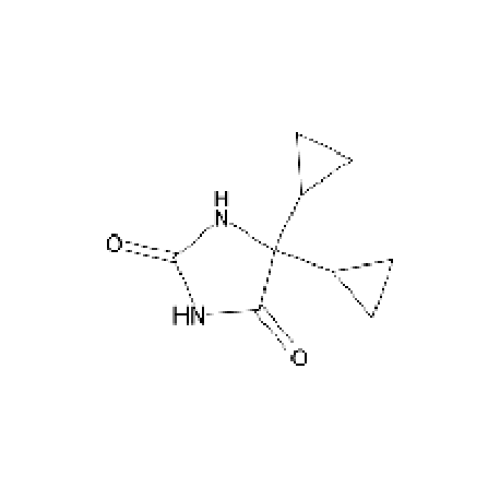 O=C1NC(=O)C(C2CC2)(C2CC2)N1